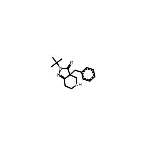 CC(C)(C)N1N=C2CCNCC2(Cc2ccccc2)C1=O